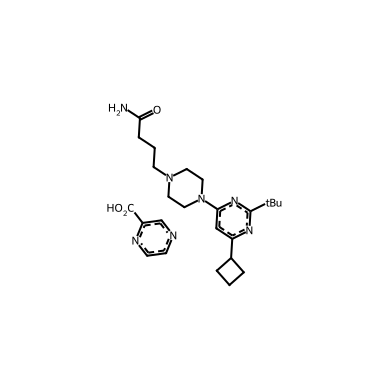 CC(C)(C)c1nc(C2CCC2)cc(N2CCN(CCCC(N)=O)CC2)n1.O=C(O)c1cnccn1